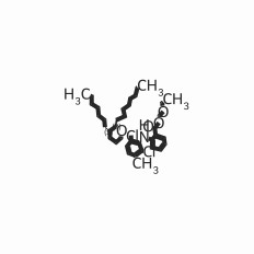 CCCCCCCC[C@H]1OCCC[C@@H]1CCCCCCC.CCOCOC(=O)c1ccccc1Nc1c(Cl)ccc(C)c1Cl